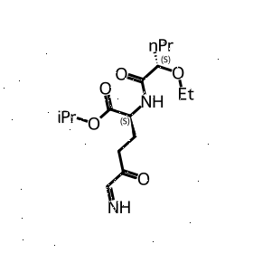 CCC[C@H](OCC)C(=O)N[C@@H](CCC(=O)C=N)C(=O)OC(C)C